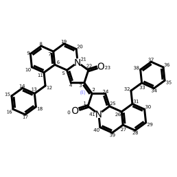 O=C1/C(=C2\C=C3c4c(cccc4Cc4ccccc4)C=CN3C2=O)C=C2c3c(cccc3Cc3ccccc3)C=CN12